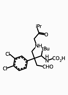 CC(C)C(=O)CNCC(CC=O)(c1ccc(Cl)c(Cl)c1)C(NC(=O)O)C(C)(C)C